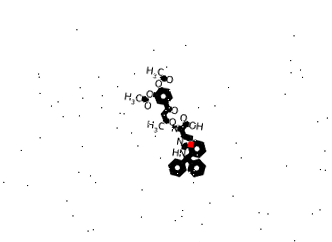 CC(=O)Oc1ccc(C(=O)CC(C)ON=C(C(=O)O)c2csc(NC(c3ccccc3)(c3ccccc3)c3ccccc3)n2)cc1OC(C)=O